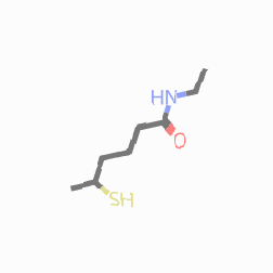 CCNC(=O)CCCC(C)S